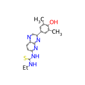 CCNC(=S)Nc1ccc2ncc(-c3cc(C)c(O)c(C)c3)nc2n1